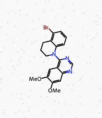 COc1cc2ncnc(N3CCCc4c(Br)cccc43)c2cc1OC